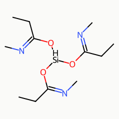 CCC(=NC)O[SiH](OC(CC)=NC)OC(CC)=NC